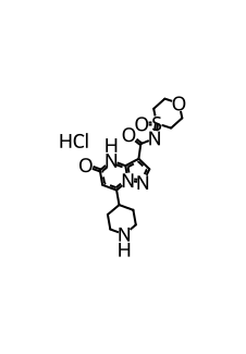 Cl.O=C(N=S1(=O)CCOCC1)c1cnn2c(C3CCNCC3)cc(=O)[nH]c12